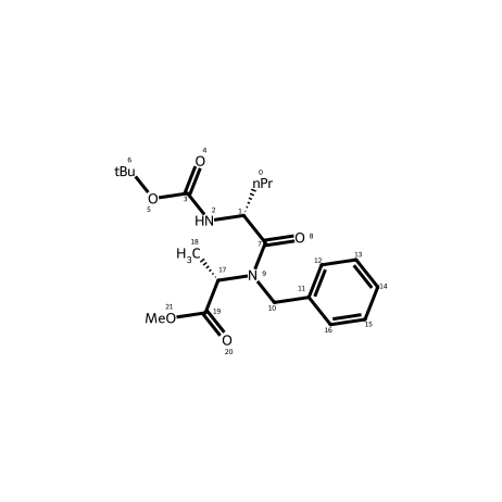 CCC[C@@H](NC(=O)OC(C)(C)C)C(=O)N(Cc1ccccc1)[C@@H](C)C(=O)OC